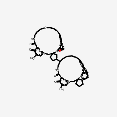 O=C1NCC(C2CCC3(C2)Cn2cc(O)c(=O)c(n2)C(=O)NCCCOCCCc2cnc4c(ccn43)c2)CCCCc2cnc3c(ccn3C3(CCCC3)Cn3cc(O)c(=O)c1n3)c2